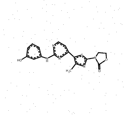 Cc1nc(N2CCOC2=O)sc1-c1ccnc(Nc2cccc(O)c2)n1